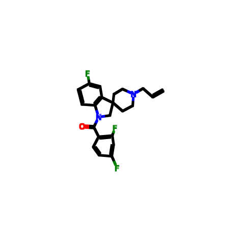 C=CCN1CCC2(CC1)CN(C(=O)c1ccc(F)cc1F)c1ccc(F)cc12